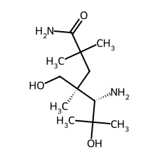 CC(C)(C[C@](C)(CO)[C@H](N)C(C)(C)O)C(N)=O